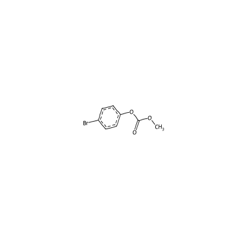 COC(=O)Oc1ccc(Br)cc1